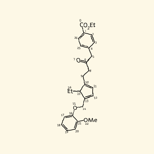 CCOC(=O)c1ccc(CC(=O)CCC2=CC=C(COc3ccccc3OC)C2CC)cc1